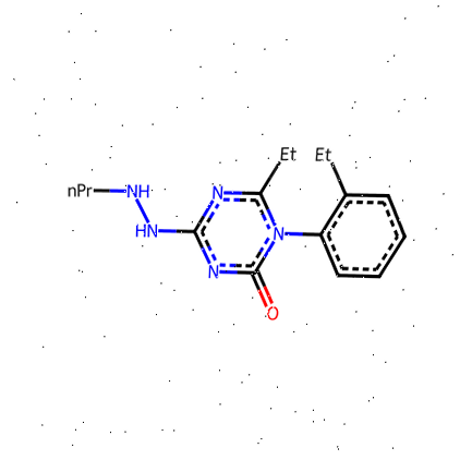 CCCNNc1nc(CC)n(-c2ccccc2CC)c(=O)n1